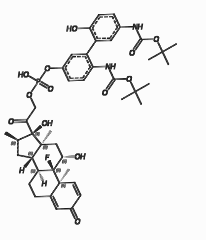 C[C@@H]1C[C@H]2[C@@H]3CCC4=CC(=O)C=C[C@]4(C)[C@@]3(F)[C@@H](O)C[C@]2(C)[C@@]1(O)C(=O)COP(=O)(O)Oc1ccc(NC(=O)OC(C)(C)C)c(-c2cc(NC(=O)OC(C)(C)C)ccc2O)c1